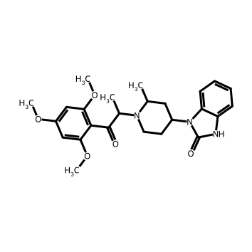 COc1cc(OC)c(C(=O)C(C)N2CCC(n3c(=O)[nH]c4ccccc43)CC2C)c(OC)c1